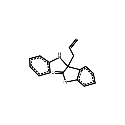 C=CCC1(Nc2ccccc2)C(=O)Nc2ccccc21